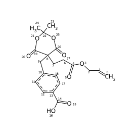 C=CCOC(=O)CCC1(Cc2ccc(C(=O)O)cc2)C(=O)OC(C)(C)OC1=O